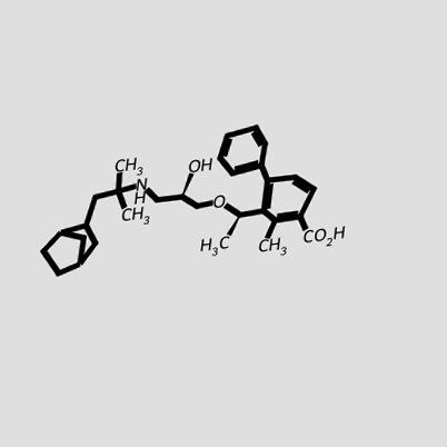 Cc1c(C(=O)O)ccc(-c2ccccc2)c1[C@@H](C)OC[C@H](O)CNC(C)(C)CC1CC2CCC1C2